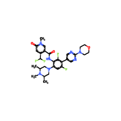 CC1CN(c2cc(F)c(-c3cnc(N4CCOCC4)nc3)c(F)c2NC(=O)c2cn(C)c(=O)cc2C(F)F)CC(C)N1C